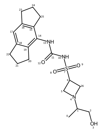 CC(CO)N1CC(S(=O)(=O)NC(=O)Nc2c3c(cc4c2CCC4)CCC3)C1